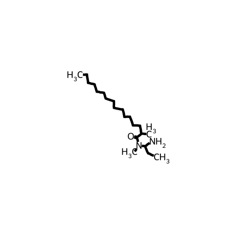 CCCCCCCCCCCCCCC(C)C(=O)N(C)C(N)CC